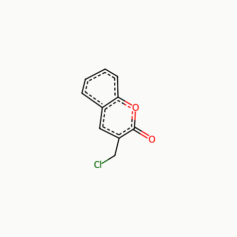 O=c1oc2ccccc2cc1CCl